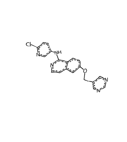 Clc1ccc(Nc2nccc3cc(OCc4cncnc4)ccc23)cn1